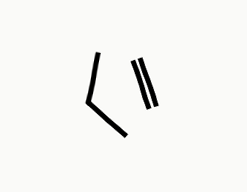 C=C.CCC